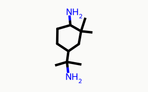 CC(C)(N)C1CCC(N)C(C)(C)C1